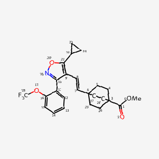 COC(=O)C12CCC(C=Cc3c(-c4ccccc4OC(F)(F)F)noc3C3CC3)(CC1)CC2